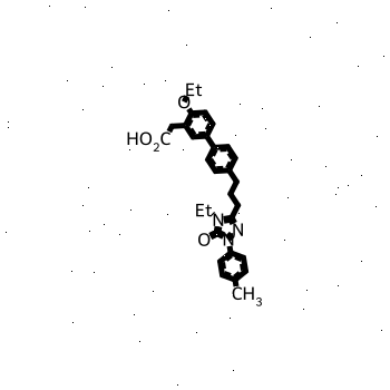 CCOc1ccc(-c2ccc(CCCc3nn(-c4ccc(C)cc4)c(=O)n3CC)cc2)cc1CC(=O)O